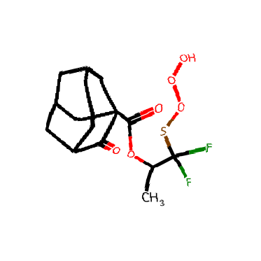 CC(OC(=O)C12CC3CC(CC(C3)C1=O)C2)C(F)(F)SOOO